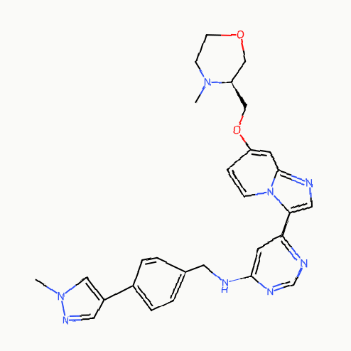 CN1CCOC[C@H]1COc1ccn2c(-c3cc(NCc4ccc(-c5cnn(C)c5)cc4)ncn3)cnc2c1